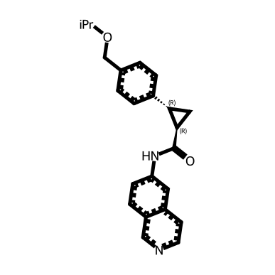 CC(C)OCc1ccc([C@@H]2C[C@H]2C(=O)Nc2ccc3cnccc3c2)cc1